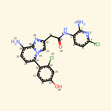 Nc1nc(Cl)ccc1NC(=O)Cc1cn2c(-c3ccc(O)cc3Cl)ccc(N)c2n1